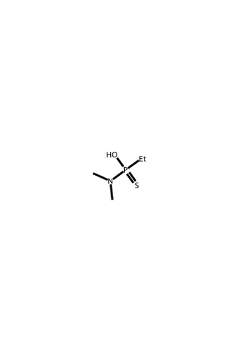 CCP(O)(=S)N(C)C